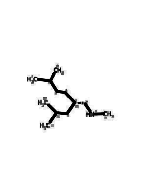 CNC[C@@H](CCC(C)C)CC(C)C